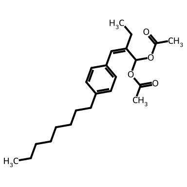 CCCCCCCCc1ccc(C=C(CC)C(OC(C)=O)OC(C)=O)cc1